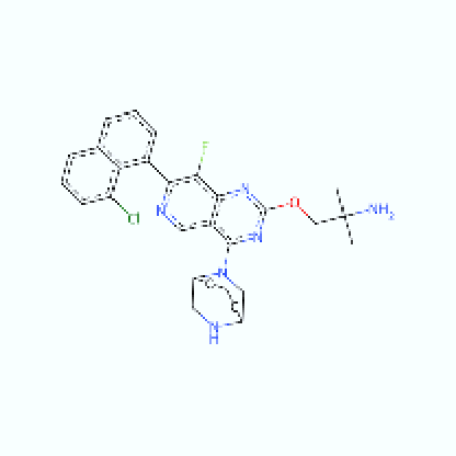 CC(C)(N)COc1nc(N2CC3CCCC2CN3)c2cnc(-c3cccc4cccc(Cl)c34)c(F)c2n1